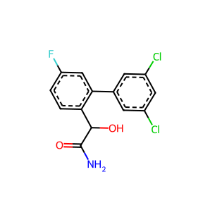 NC(=O)C(O)c1ccc(F)cc1-c1cc(Cl)cc(Cl)c1